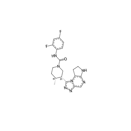 C[C@@H]1CCN(C(=O)Nc2ccc(F)cc2F)C[C@@H]1c1nnc2cnc3c(n12)CCN3